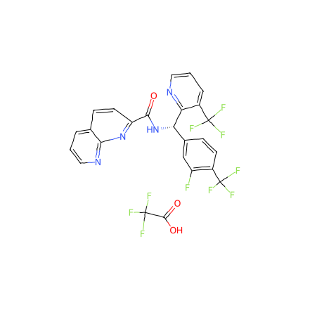 O=C(N[C@@H](c1ccc(C(F)(F)F)c(F)c1)c1ncccc1C(F)(F)F)c1ccc2cccnc2n1.O=C(O)C(F)(F)F